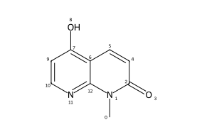 Cn1c(=O)ccc2c(O)ccnc21